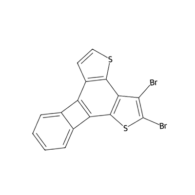 Brc1sc2c3c(c4ccsc4c2c1Br)-c1ccccc1-3